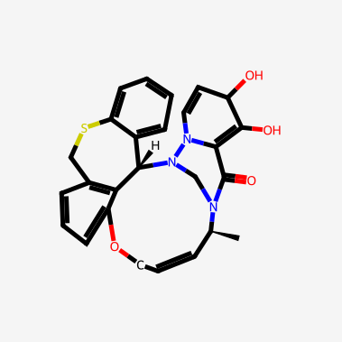 C[C@H]1/C=C\COc2cccc3c2[C@H](c2ccccc2SC3)N2CN1C(=O)C1=C(O)C(O)C=CN12